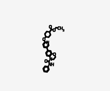 CCOC(=O)C1CCC(Oc2ccc(-c3ccc4c(c3)OCCN4C(=O)Nc3ccccc3)cn2)CC1